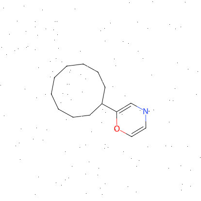 C1=COC(C2CCCCCCCCC2)=C[N]1